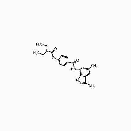 CCN(CC)C(=O)Oc1ccc(C(=O)Nc2cc(C)cc3c(C)c[nH]c23)cc1